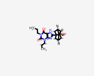 CCCn1c(=O)c2[nH]c(C34C[C@H]5C[C@H]3C[C@@H](C4)[C@H]5O)nc2n(CCC)c1=O